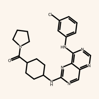 O=C(C1CCC(Nc2ncc3ncnc(Nc4cccc(Cl)c4)c3n2)CC1)N1CCCC1